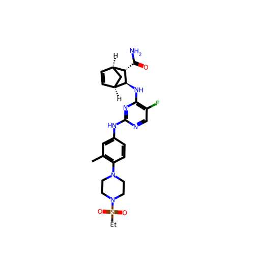 CCS(=O)(=O)N1CCN(c2ccc(Nc3ncc(F)c(N[C@@H]4[C@@H](C(N)=O)[C@@H]5C=C[C@H]4C5)n3)cc2C)CC1